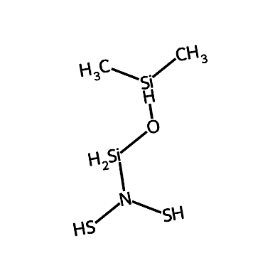 C[SiH](C)O[SiH2]N(S)S